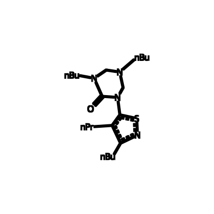 CCCCc1nsc(N2CN(CCCC)CN(CCCC)C2=O)c1CCC